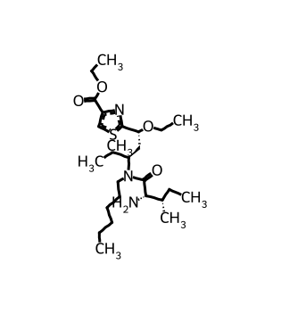 CCCCCCN(C(=O)[C@@H](N)[C@@H](C)CC)[C@H](C[C@@H](OCC)c1nc(C(=O)OCC)cs1)C(C)C